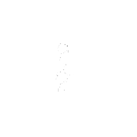 Cc1cc([N+](=O)[O-])ccc1OCc1cc[nH]n1